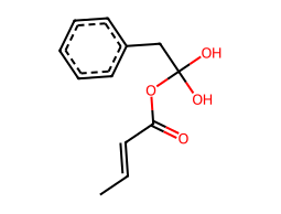 C/C=C/C(=O)OC(O)(O)Cc1ccccc1